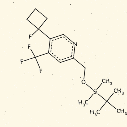 CC(C)(C)[Si](C)(C)OCc1cc(C(F)(F)F)c(C2(F)CCC2)cn1